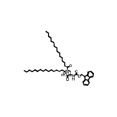 CCCCCCCCCCCCCCCC(=O)[SH](C[C@H](NC(=O)OCC1c2ccccc2-c2ccccc21)C(=O)O)C(=O)CCCCCCCCCCCCCCC